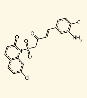 Nc1cc(/C=C/C(=O)CS(=O)(=O)n2c(=O)ccc3ccc(Cl)cc32)ccc1Cl